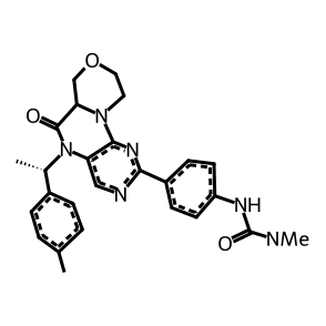 CNC(=O)Nc1ccc(-c2ncc3c(n2)N2CCOCC2C(=O)N3[C@@H](C)c2ccc(C)cc2)cc1